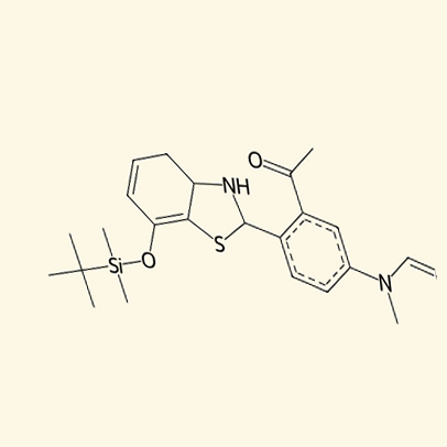 CC(=O)c1cc(N(C)C=O)ccc1C1NC2CC=CC(O[Si](C)(C)C(C)(C)C)=C2S1